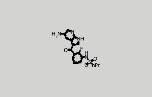 CCCS(=O)(=O)Nc1cccc(C(=O)c2c[nH]c3ncc(N)cc23)c1F